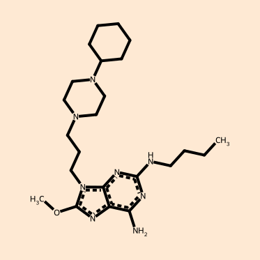 CCCCNc1nc(N)c2nc(OC)n(CCCN3CCN(C4CCCCC4)CC3)c2n1